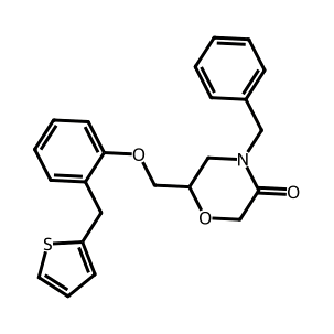 O=C1COC(COc2ccccc2Cc2cccs2)CN1Cc1ccccc1